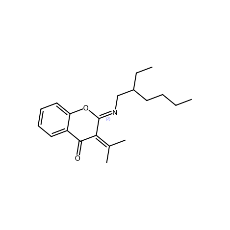 CCCCC(CC)C/N=C1\Oc2ccccc2C(=O)C1=C(C)C